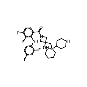 O=C(c1ccc(F)c(F)c1Nc1ccc(I)cc1F)N1CC(O)(C[N+]2(C3CCNCC3)CCCCC2)C1